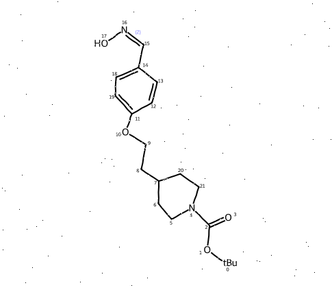 CC(C)(C)OC(=O)N1CCC(CCOc2ccc(/C=N\O)cc2)CC1